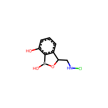 OB1OC(CNCl)c2cccc(O)c21